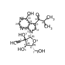 C#C[C@@]1(O)[C@H](O)[C@@H](CO)O[C@H]1n1cc(C(=O)C(C)C)c2c(O)ncnc21